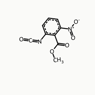 COC(=O)c1c(N=C=O)cccc1[N+](=O)[O-]